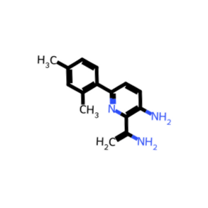 C=C(N)c1nc(-c2ccc(C)cc2C)ccc1N